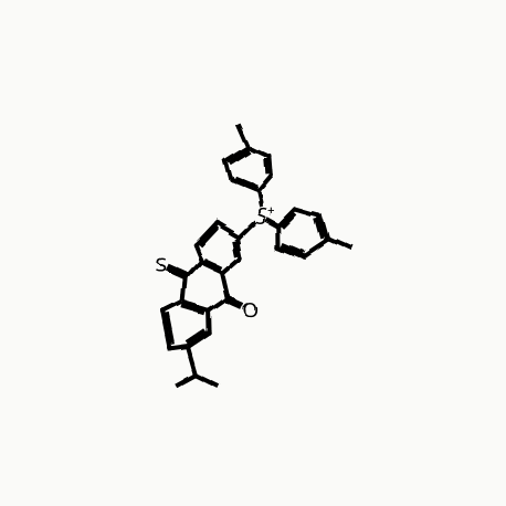 Cc1ccc([S+](c2ccc(C)cc2)c2ccc3c(c2)C(=O)c2cc(C(C)C)ccc2C3=S)cc1